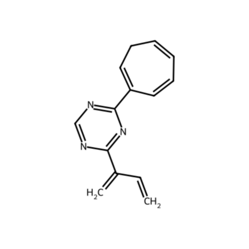 C=CC(=C)c1ncnc(C2=CCC=CC=C2)n1